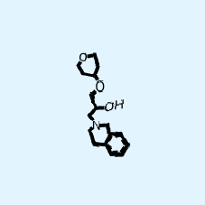 OC(COC1CCOCC1)CN1CCc2ccccc2C1